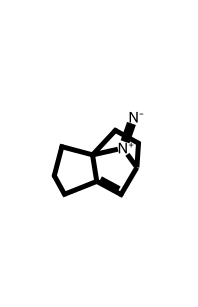 [N-]=[N+]1C2C=C3CCCC31CC2